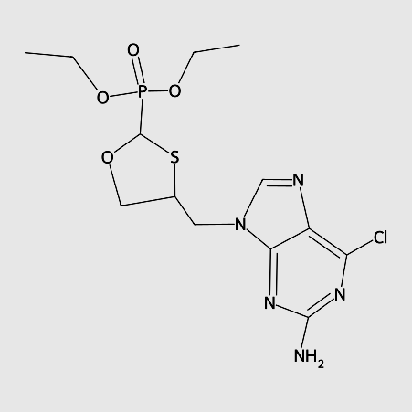 CCOP(=O)(OCC)C1OCC(Cn2cnc3c(Cl)nc(N)nc32)S1